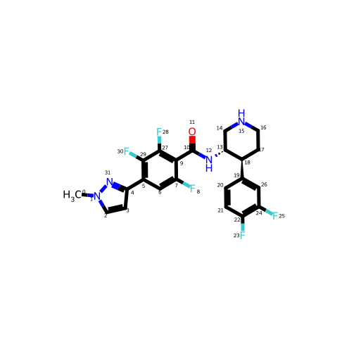 Cn1ccc(-c2cc(F)c(C(=O)N[C@@H]3CNCC[C@H]3c3ccc(F)c(F)c3)c(F)c2F)n1